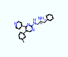 Cc1cccc(-c2cnc(NC[C@H](N)Cc3ccccc3)nc2-c2ccncc2)c1